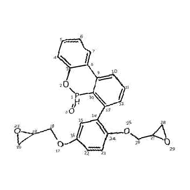 O=[PH]1Oc2ccccc2-c2cccc(-c3cc(OCC4CO4)ccc3OCC3CO3)c21